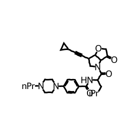 CCCN1CCN(c2ccc(C(=O)NC(CC(C)C)C(=O)N3CC(C#CC4CC4)C4OCC(=O)C43)cc2)CC1